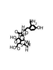 NCc1cc(O)ccc1CC(=O)NC1C(=O)N2C(C(=O)O)=C(C(CC(=O)O)Sc3nnn[nH]3)CS[C@@H]12